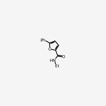 CCNC(=O)c1ccc(C(C)C)o1